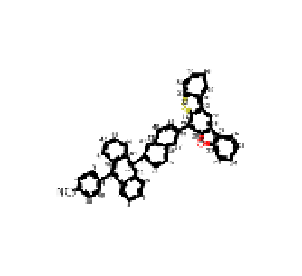 N#Cc1ccc(-c2c3ccccc3c(-c3ccc4cc(-c5c6oc7ccccc7c6cc6c5sc5ccccc56)ccc4c3)c3ccccc23)cc1